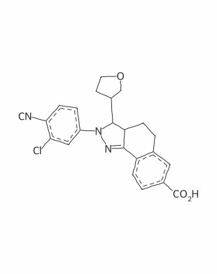 [C-]#[N+]c1ccc(N2N=C3c4ccc(C(=O)O)cc4CCC3C2C2CCOC2)cc1Cl